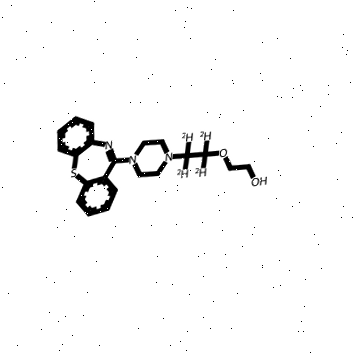 [2H]C([2H])(OCCO)C([2H])([2H])N1CCN(C2=Nc3ccccc3Sc3ccccc32)CC1